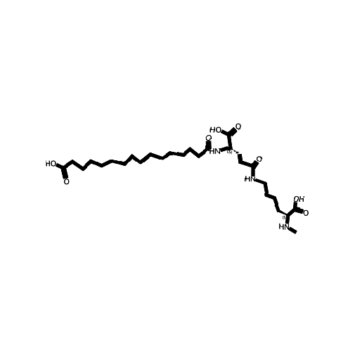 CN[C@@H](CCCCNC(=O)CC[C@H](NC(=O)CCCCCCCCCCCCCCC(=O)O)C(=O)O)C(=O)O